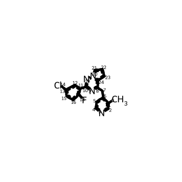 Cc1cnccc1Cc1nc(-c2cc(Cl)ccc2F)nn2cccc12